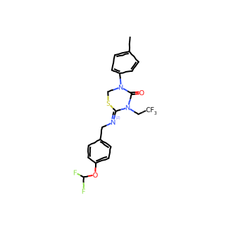 Cc1ccc(N2CS/C(=N\Cc3ccc(OC(F)F)cc3)N(CC(F)(F)F)C2=O)cc1